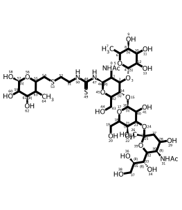 CC(=O)NC1C(O[C@@H]2OC(C)[C@@H](O)C(O)C2O)[C@H](O[C@@H]2OC(CO)[C@H](O)C(O[C@]3(C(=O)O)CC(O)[C@@H](NC(C)=O)C([C@H](O)[C@H](O)CO)O3)C2O)C(CO)O[C@H]1NC(=S)NCCSCC1O[C@H](O)C(O)[C@H](O)C1C